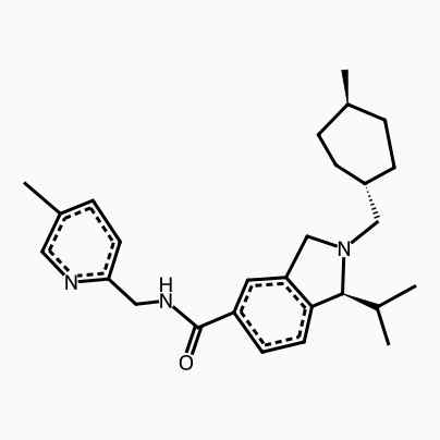 Cc1ccc(CNC(=O)c2ccc3c(c2)CN(C[C@H]2CC[C@H](C)CC2)[C@H]3C(C)C)nc1